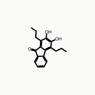 CCCc1c(O)c(O)c(CCC)c2c1C(=O)c1ccccc1-2